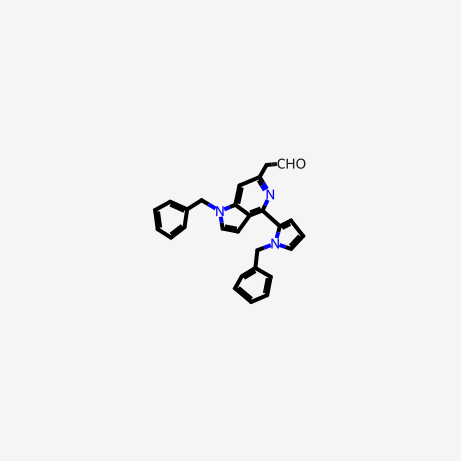 O=CCc1cc2c(ccn2Cc2ccccc2)c(-c2cccn2Cc2ccccc2)n1